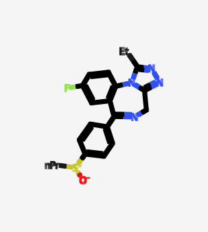 CCC[S+]([O-])c1ccc(C2=NCc3nnc(CC)n3-c3ccc(F)cc32)cc1